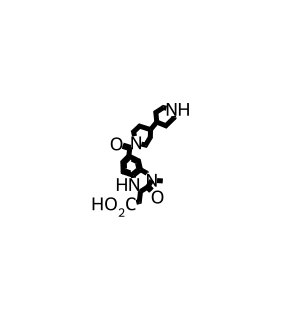 CN1Cc2cc(C(=O)N3CCC(C4CCNCC4)CC3)ccc2NC(CC(=O)O)C1=O